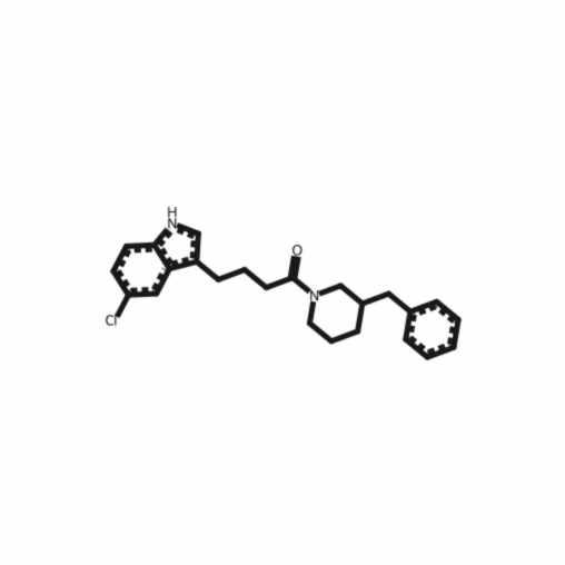 O=C(CCCc1c[nH]c2ccc(Cl)cc12)N1CCCC(Cc2ccccc2)C1